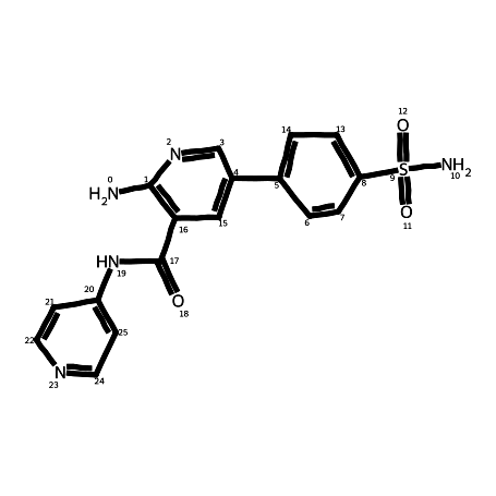 Nc1ncc(-c2ccc(S(N)(=O)=O)cc2)cc1C(=O)Nc1ccncc1